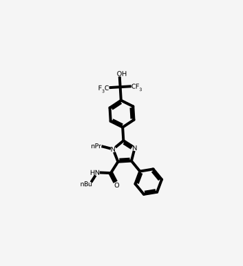 CCCCNC(=O)c1c(-c2ccccc2)nc(-c2ccc(C(O)(C(F)(F)F)C(F)(F)F)cc2)n1CCC